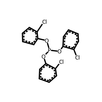 Clc1ccccc1OP(Oc1ccccc1Cl)Oc1ccccc1Cl